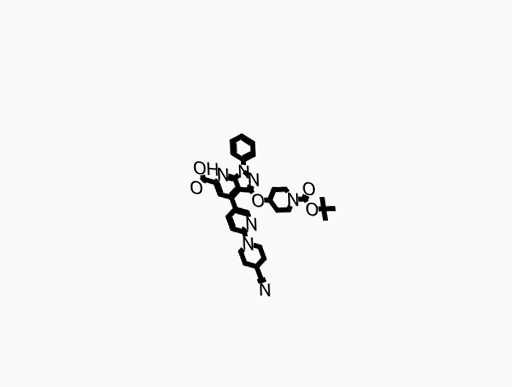 CC(C)(C)OC(=O)N1CCC(Oc2nn(-c3ccccc3)c3nc(C(=O)O)cc(-c4ccc(N5CCC(C#N)CC5)nc4)c23)CC1